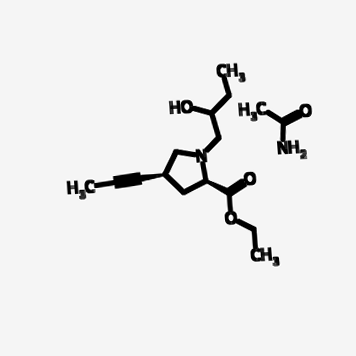 CC#C[C@@H]1C[C@H](C(=O)OCC)N(CC(O)CC)C1.CC(N)=O